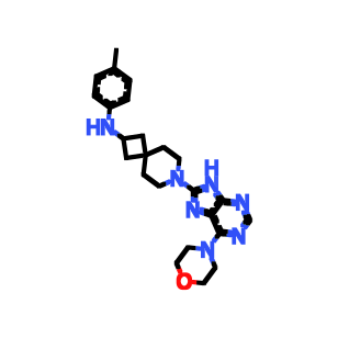 Cc1ccc(NC2CC3(CCN(c4nc5c(N6CCOCC6)ncnc5[nH]4)CC3)C2)cc1